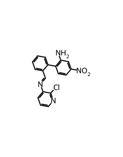 Nc1cc([N+](=O)[O-])ccc1-c1ccccc1C=Nc1cccnc1Cl